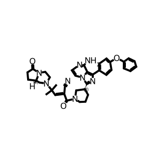 CC(C)(C=C(C#N)C(=O)N1CCC[C@@H](c2nc(-c3ccc(Oc4ccccc4)cc3)c3c(N)nccn23)C1)N1CCN2C(=O)CC[C@H]2C1